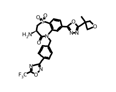 CC1(c2nnc(-c3ccc4c(c3)N(Cc3ccc(-c5noc(C(F)(F)F)n5)cc3)C(=O)[C@@H](N)CS4(=O)=O)o2)COC1